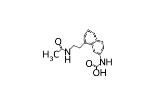 CC(=O)NCCc1cccc2ccc(NC(=O)O)cc12